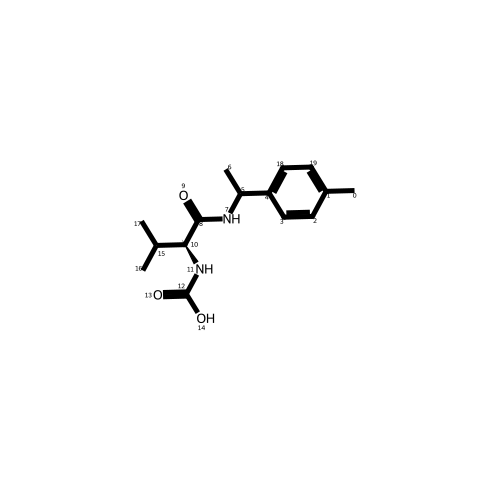 Cc1ccc(C(C)NC(=O)[C@@H](NC(=O)O)C(C)C)cc1